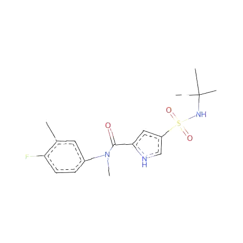 Cc1cc(N(C)C(=O)c2cc(S(=O)(=O)NC(C)(C)C)c[nH]2)ccc1F